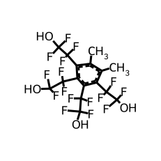 Cc1c(C)c(C(F)(F)C(O)(F)F)c(C(F)(F)C(O)(F)F)c(C(F)(F)C(O)(F)F)c1C(F)(F)C(O)(F)F